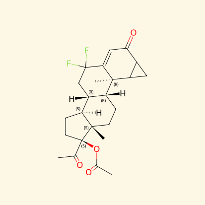 CC(=O)O[C@@]1(C(C)=O)CC[C@H]2[C@@H]3CC(F)(F)C4=CC(=O)C5CC5[C@@]4(C)[C@@H]3CC[C@@]21C